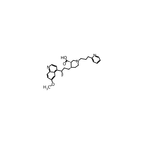 COc1ccc2nccc(C(F)CC[C@@H]3CCN(CCCc4ccccn4)C[C@@H]3C(=O)O)c2c1